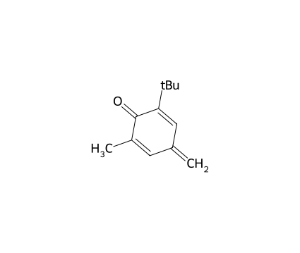 C=C1C=C(C)C(=O)C(C(C)(C)C)=C1